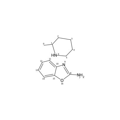 CC1CCCCN1.Nc1nc2ccccc2o1